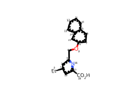 CCc1cc(COc2ccc3ccccc3c2)nc(C(=O)O)c1